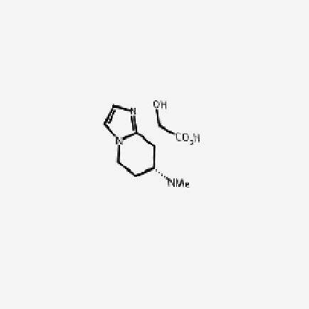 CN[C@@H]1CCn2ccnc2C1.O=C(O)CO